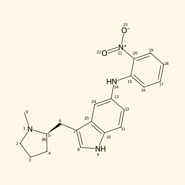 CN1CCC[C@@H]1Cc1c[nH]c2ccc(Nc3ccccc3[N+](=O)[O-])cc12